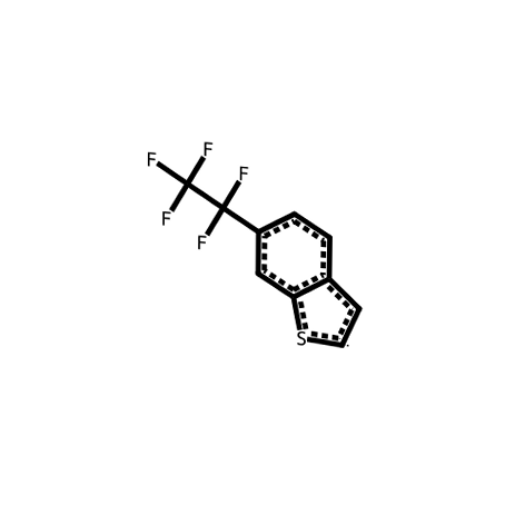 FC(F)(F)C(F)(F)c1ccc2c[c]sc2c1